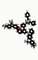 N#Cc1ccc(-n2c3ccccc3c3cc(-c4ccc(C(F)(F)F)cc4C(F)(F)F)ccc32)cc1-c1cc(-c2nc(-c3ccccc3)nc(-c3ccccc3)n2)ccc1-n1c2ccccc2c2cc(-c3ccc(C(F)(F)F)cc3C(F)(F)F)ccc21